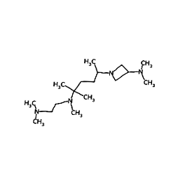 CC(CCC(C)(C)N(C)CCN(C)C)N1CC(N(C)C)C1